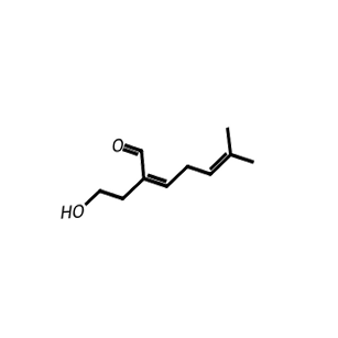 CC(C)=CCC=C(C=O)CCO